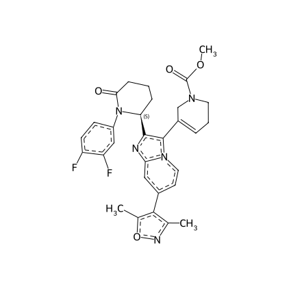 COC(=O)N1CCC=C(c2c([C@@H]3CCCC(=O)N3c3ccc(F)c(F)c3)nc3cc(-c4c(C)noc4C)ccn23)C1